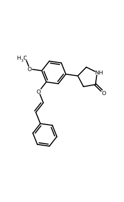 COc1ccc(C2CNC(=O)C2)cc1OC=Cc1ccccc1